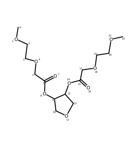 COCCOCC(=O)OC1COCC1OC(=O)COCCOC